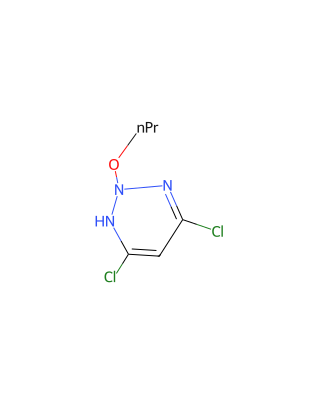 CCCON1N=C(Cl)C=C(Cl)N1